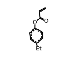 C=CC(=O)Oc1ccc(CC)cc1